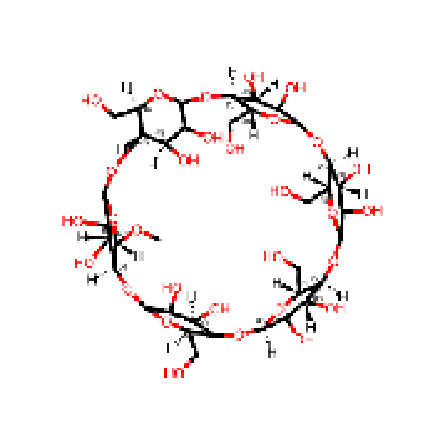 CO[C@H]1OC2O[C@H]3[C@H](O)C(O)C(O[C@H]4[C@H](O)C(O)C(O[C@H]5[C@H](O)C(O)C(O[C@H]6[C@H](O)C(O)[C@@H](OC7[C@H](O)C(O)C(O[C@H]1[C@H](O)C2O)O[C@@H]7CO)O[C@@H]6CO)O[C@@H]5CO)O[C@@H]4CO)O[C@@H]3CO